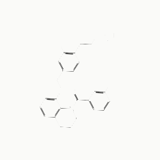 O=C(O)CCc1ccc(COc2cccc3c2N(C(=O)c2cccc(C(F)(F)F)c2)CCC3)cc1F